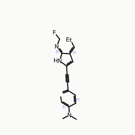 C=C(C#CC1=CC(=C/CC)/C(=N\CF)N1)/C=C\C(=C/C)N(C)C